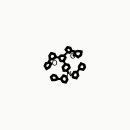 c1ccc(-c2cccc(N(c3ccc(-c4cc(-c5cccc6c5oc5ccccc56)cc(-c5cccc6c5oc5ccccc56)c4)cc3)c3cccc(-c4ccccc4)c3)c2)cc1